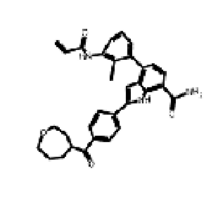 C=CC(=O)Nc1cccc(-c2ccc(C(N)=O)c3[nH]c(-c4ccc(C(=O)C5CCCOCC5)cc4)cc23)c1C